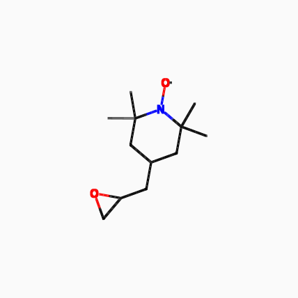 CC1(C)CC(CC2CO2)CC(C)(C)N1[O]